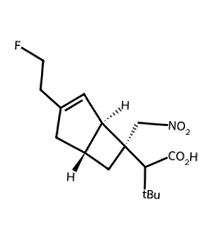 CC(C)(C)C(C(=O)O)[C@@]1(C[N+](=O)[O-])C[C@@H]2CC(CCF)=C[C@H]21